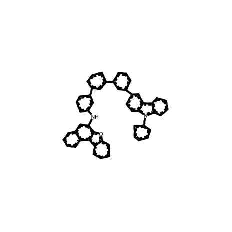 c1ccc(-n2c3ccccc3c3cc(-c4cccc(-c5cccc(-c6cccc(Nc7cc8ccccc8c8c7oc7ccccc78)c6)c5)c4)ccc32)cc1